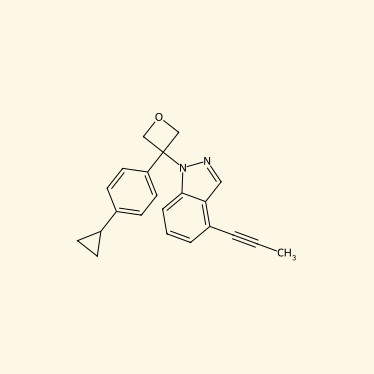 CC#Cc1cccc2c1cnn2C1(c2ccc(C3CC3)cc2)COC1